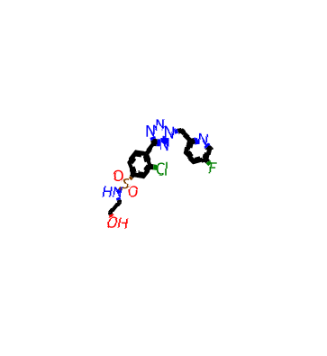 O=S(=O)(NCCO)c1ccc(-c2nnn(Cc3ccc(F)cn3)n2)c(Cl)c1